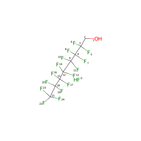 F.OCC(F)(F)C(F)(F)C(F)(F)C(F)(F)C(F)(F)C(F)(F)C(F)(F)F